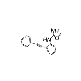 NC(=O)Nc1ccccc1C#Cc1ccccc1